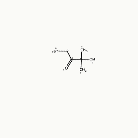 CCCCC(=O)C(C)(C)O